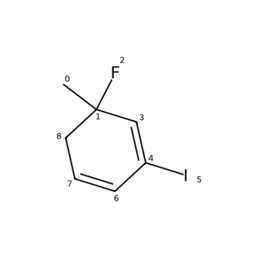 CC1(F)C=C(I)C=CC1